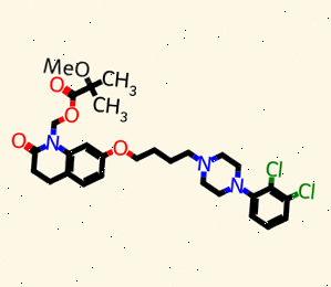 COC(C)(C)C(=O)OCN1C(=O)CCc2ccc(OCCCCN3CCN(c4cccc(Cl)c4Cl)CC3)cc21